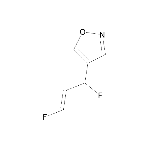 FC=CC(F)c1cnoc1